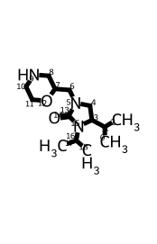 CC(C)C1CN(CC2CNCCO2)C(=O)N1C(C)C